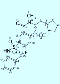 C[C@H]1CCCN1CCN(C)C(=O)c1cc(S(=O)(=O)Nc2ccccc2F)c(F)cc1Cl